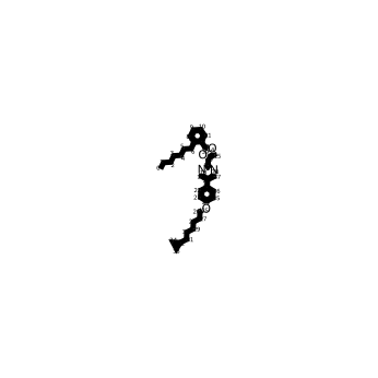 CCCCCCCc1ccccc1C1OC=C(c2ncc(-c3ccc(OCCCCCCC4CC4)cc3)cn2)O1